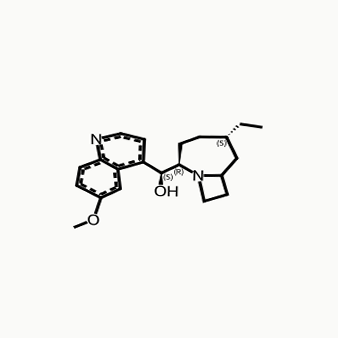 CC[C@H]1CC[C@H]([C@@H](O)c2ccnc3ccc(OC)cc23)N2CCC2C1